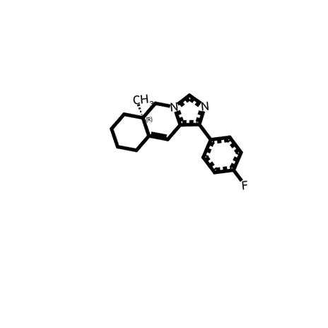 C[C@@]12CCCCC1=Cc1c(-c3ccc(F)cc3)ncn1C2